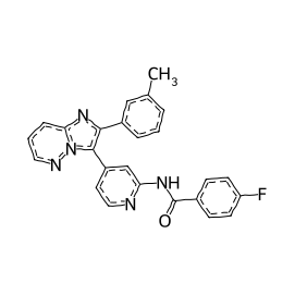 Cc1cccc(-c2nc3cccnn3c2-c2ccnc(NC(=O)c3ccc(F)cc3)c2)c1